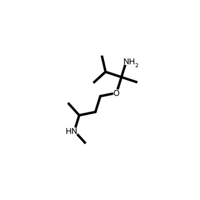 CNC(C)CCOC(C)(N)C(C)C